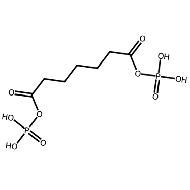 O=C(CCCCCC(=O)OP(=O)(O)O)OP(=O)(O)O